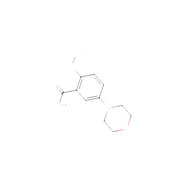 CCCCOc1ccc(N2CCOCC2)cc1C(=O)OC